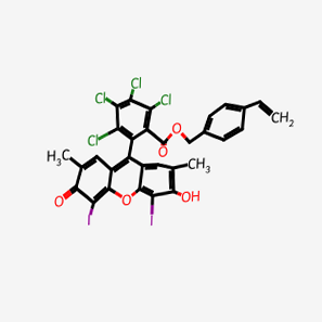 C=Cc1ccc(COC(=O)c2c(Cl)c(Cl)c(Cl)c(Cl)c2-c2c3cc(C)c(=O)c(I)c-3oc3c(I)c(O)c(C)cc23)cc1